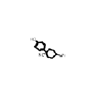 CCC[C@H]1CC[C@@](C#N)(c2ccc(O)cc2)CC1